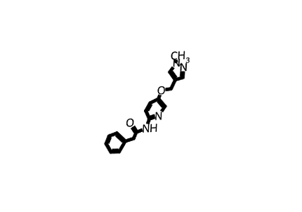 Cn1cc(COc2ccc(NC(=O)Cc3ccccc3)nc2)cn1